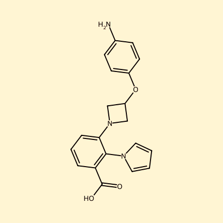 Nc1ccc(OC2CN(c3cccc(C(=O)O)c3-n3cccc3)C2)cc1